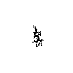 Cc1cc(C#N)nnc1-c1cnn(C)c1C